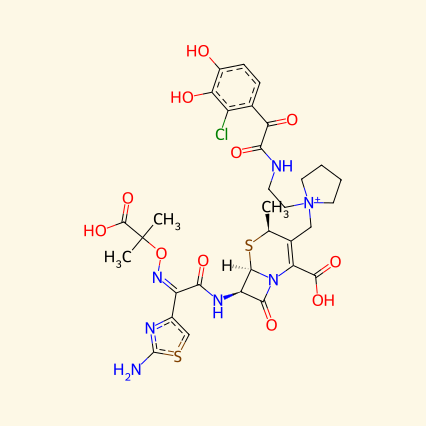 C[C@@H]1S[C@@H]2[C@H](NC(=O)/C(=N\OC(C)(C)C(=O)O)c3csc(N)n3)C(=O)N2C(C(=O)O)=C1C[N+]1(CCNC(=O)C(=O)c2ccc(O)c(O)c2Cl)CCCC1